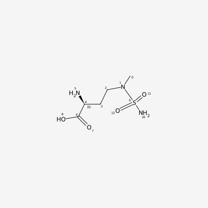 CN(CC[C@H](N)C(=O)O)S(N)(=O)=O